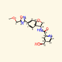 COCc1nc(-c2ccc3c(c2)OCC3NC(=O)c2cc(CO)ccn2)no1